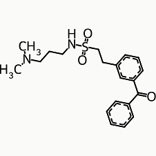 CN(C)CCCNS(=O)(=O)CCc1cccc(C(=O)c2ccccc2)c1